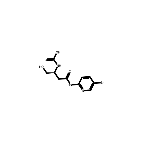 O=C(O)N[C@H](CO)CC(=O)Nc1ccc(Br)cn1